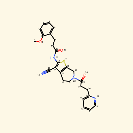 COc1ccccc1CCC(=O)Nc1sc2c(c1C#N)CCN(C(=O)CCc1ccccn1)C2